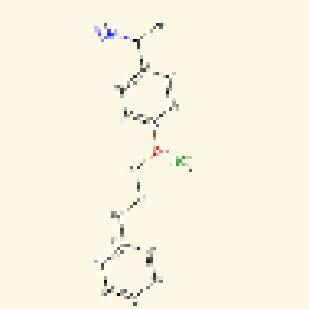 CC(N)c1ccc(OCCCc2ccccc2)cc1.Cl